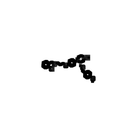 COc1ccc(COC[C@H]2CNCCN2c2ccc(OCCCOCc3ccccc3Cl)cc2)cc1